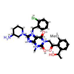 COc1cccc(C(C)O)c1C(=O)Cn1c(=O)c2c(nc(N3CCCC(N)C3)n2Cc2ccccc2Br)n(C)c1=O